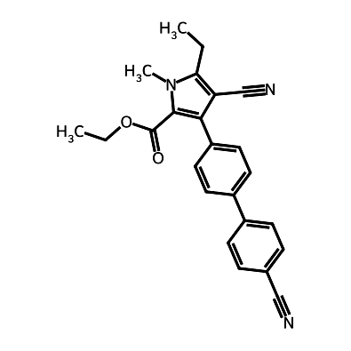 CCOC(=O)c1c(-c2ccc(-c3ccc(C#N)cc3)cc2)c(C#N)c(CC)n1C